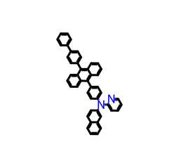 c1ccc(-c2ccc(-c3c4ccccc4c(-c4ccc(N(c5ccc6ccccc6c5)c5ccccn5)cc4)c4ccccc34)cc2)cc1